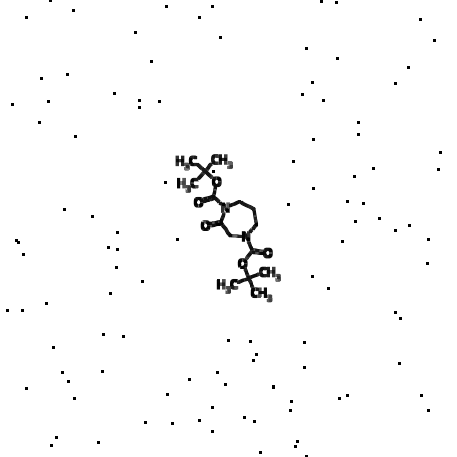 CC(C)(C)OC(=O)N1CCCN(C(=O)OC(C)(C)C)C(=O)C1